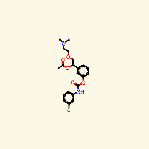 CC(=O)OC(COCCN(C)C)c1cccc(OC(=O)Nc2cccc(Cl)c2)c1